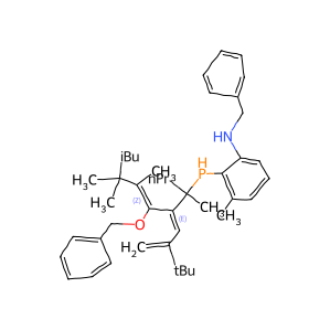 C=C(/C=C(\C(OCc1ccccc1)=C(/C)C(C)(C)C(C)CC)C(C)(CCC)Pc1c(C)cccc1NCc1ccccc1)C(C)(C)C